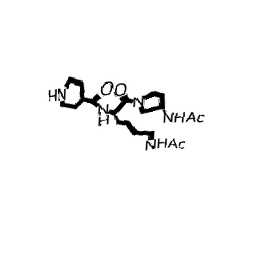 CC(=O)NCCCC[C@@H](NC(=O)C1CCNCC1)C(=O)N1CC[C@H](NC(C)=O)C1